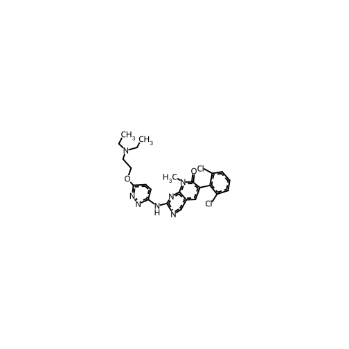 CCN(CC)CCOc1ccc(Nc2ncc3cc(-c4c(Cl)cccc4Cl)c(=O)n(C)c3n2)nn1